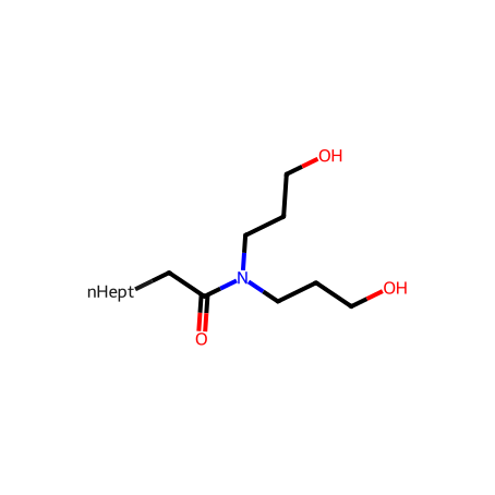 CCCCCCCCC(=O)N(CCCO)CCCO